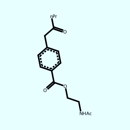 CCCC(=O)Cc1ccc(C(=O)OCCNC(C)=O)cc1